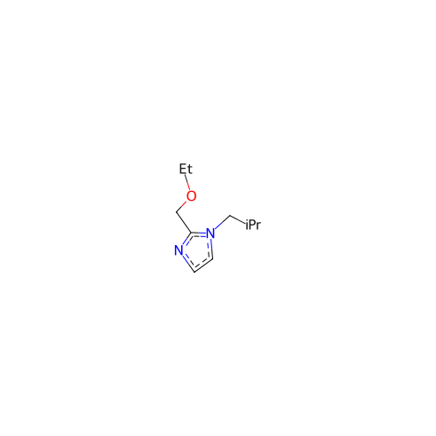 CCOCc1nccn1CC(C)C